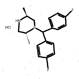 C[C@@H]1CN[C@@H](C)CN1C(c1ccc(F)cc1)c1ccc(F)cc1.Cl